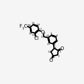 O=C1CC(=O)C(c2cccc(COc3ccc(C(F)(F)F)cc3Cl)c2)C1